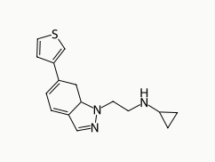 C1=NN(CCNC2CC2)C2CC(c3ccsc3)=CC=C12